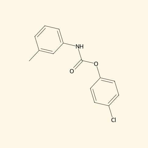 Cc1cccc(NC(=O)Oc2ccc(Cl)cc2)c1